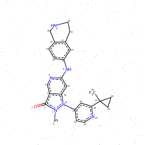 CC(C)n1c(=O)c2cnc(Nc3ccc4c(c3)CCNC4)cc2n1-c1ccnc(C2(C(F)(F)F)CC2)c1